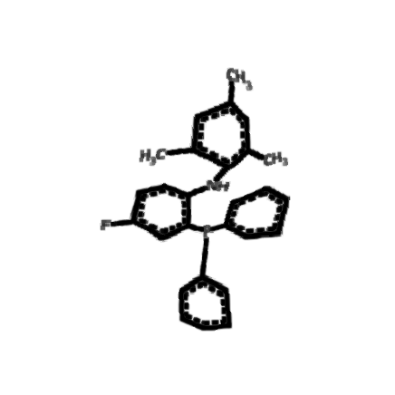 Cc1cc(C)c(Nc2ccc(F)cc2P(c2ccccc2)c2ccccc2)c(C)c1